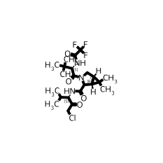 CC(C)[C@H](NC(=O)C1[C@@H]2[C@H](CN1C(=O)[C@@H](NC(=O)C(F)(F)F)C(C)(C)C)C2(C)C)C(=O)CCl